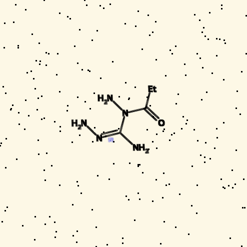 CCC(=O)N(N)/C(N)=N\N